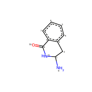 NC1Cc2ccccc2C(=O)N1